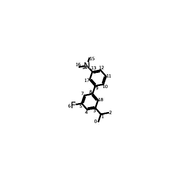 CC(C)c1cc(F)cc(-c2cccc(N(C)C)c2)c1